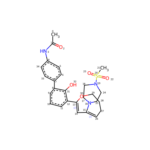 CC(=O)Nc1ccc(-c2cccc(/C3=C/C(N4CCN(S(C)(=O)=O)CC4)=C/CCCO3)c2O)cc1